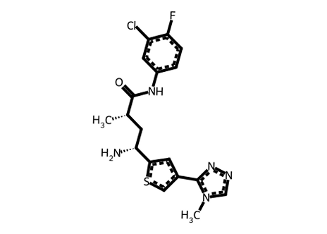 C[C@@H](C[C@@H](N)c1cc(-c2nncn2C)cs1)C(=O)Nc1ccc(F)c(Cl)c1